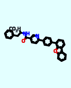 O=C(NC(Cc1ccccc1)C(=O)O)c1ccc(-c2ccc(-c3cccc4c3oc3ccccc34)cc2)nc1